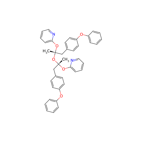 C[C@](Cc1ccc(Oc2ccccc2)cc1)(Oc1ccccn1)O[C@@](C)(Cc1ccc(Oc2ccccc2)cc1)Oc1ccccn1